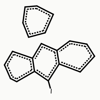 Ic1c2ccccc2cc2ccccc12.c1ccccc1